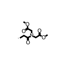 [CH2]CC(=O)N(CC(=O)OC)CC(=O)OC